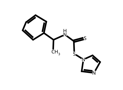 CC(NC(=S)Sn1ccnc1)c1ccccc1